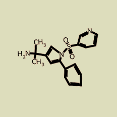 CC(C)(N)c1cc(-c2ccccc2)n(S(=O)(=O)c2cccnc2)c1